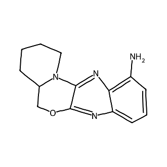 Nc1cccc2nc3c(nc12)N1CCCCC1CO3